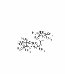 CC(C)(C=CCP(C(C)(C)C)C(C)(C)C)N=CCP(C(C)(C)C)C(C)(C)C